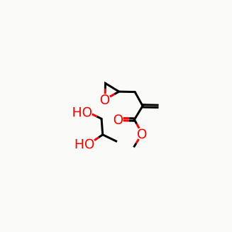 C=C(CC1CO1)C(=O)OC.CC(O)CO